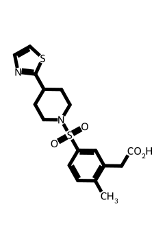 Cc1ccc(S(=O)(=O)N2CCC(c3nccs3)CC2)cc1CC(=O)O